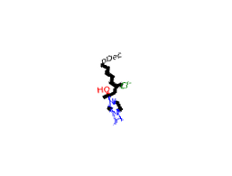 CCCCCCCCCCCCCCCC(C)CC(C)(O)[N+]1=CNCC1.[Cl-]